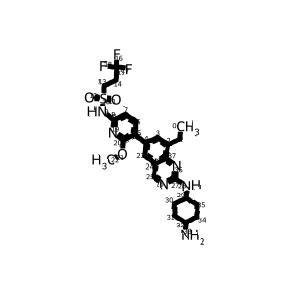 CCc1cc(-c2ccc(NS(=O)(=O)CCC(F)(F)F)nc2OC)cc2cnc(NC3CCC(N)CC3)nc12